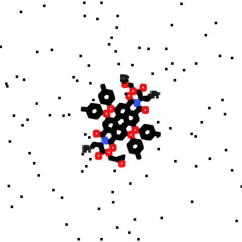 CCOCOC(=O)C(CC(C)C)N1C(=O)c2cc(Oc3ccc(C)cc3)c3c4c(Oc5ccc(C)cc5)cc5c6c(cc(Oc7ccc(C)cc7)c(c7c(Oc8ccc(C)cc8)cc(c2c37)C1=O)c64)C(=O)N(C(CC(C)C)C(=O)OCC1CO1)C5=O